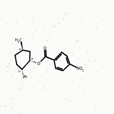 CC(C)[C@@H]1CC[C@@H](C)C[C@@H]1OC(=O)c1ccc([N+](=O)[O-])cc1